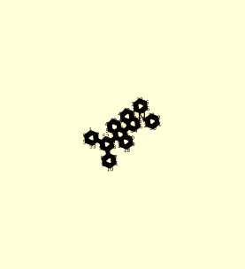 c1ccc(-c2cc(-c3ccccc3)cc(-c3c4ccccc4c(-c4ccc(N(c5ccccc5)c5ccccc5)c5ccccc45)c4ccccc34)c2)cc1